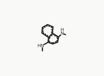 CNc1ccc(NC)c2ccccc12